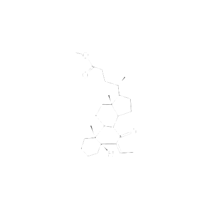 C/C=C1\C(=O)C2C3CCC([C@H](C)CCC(=O)OC)[C@@]3(C)CCC2[C@@]2(C)CCCC[C@@H]12